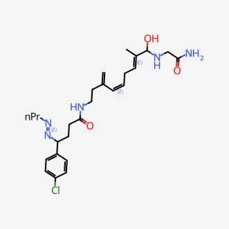 C=C(/C=C\C/C=C(\C)C(O)NCC(N)=O)CCNC(=O)CCC(/N=N/CCC)c1ccc(Cl)cc1